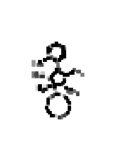 Cc1ccccc1N1C(C)N(C)C(C)(C2CCCCCCC2)[C@@H]1C